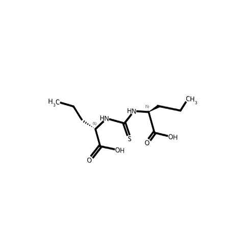 CCC[C@H](NC(=S)N[C@@H](CCC)C(=O)O)C(=O)O